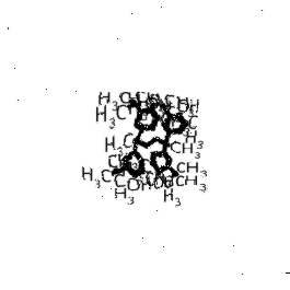 Cc1cc(C(C)(CCC(C)(c2cc(C)c(O)c(C(C)(C)C)c2)c2cc(C)c(O)c(C(C)(C)C)c2)c2cc(C)c(O)c(C(C)(C)C)c2)cc(C(C)(C)C)c1O